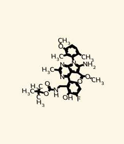 COC(=O)c1c(N)n(-c2c(C)ccc(OC)c2C)c2nc(C)nc(-c3ccc(F)c(O)c3CNC(=O)OC(C)(C)C)c12